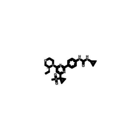 CC[C@H]1COCCN1c1cc(C2(S(C)(=O)=O)CC2)nc(-c2ccc(NC(=O)NC3CC3)cc2)n1